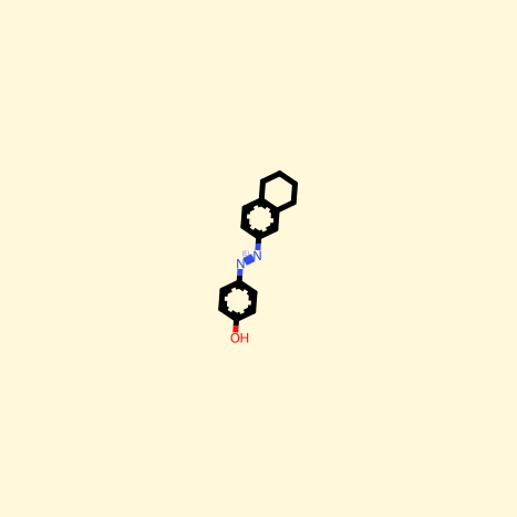 Oc1ccc(/N=N/c2ccc3c(c2)CCCC3)cc1